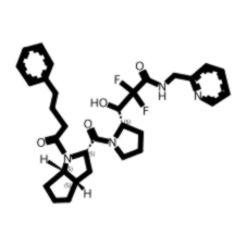 O=C([C@@H]1C[C@@H]2CCC[C@@H]2N1C(=O)CCCc1ccccc1)N1CCC[C@H]1C(O)C(F)(F)C(=O)NCc1ccccn1